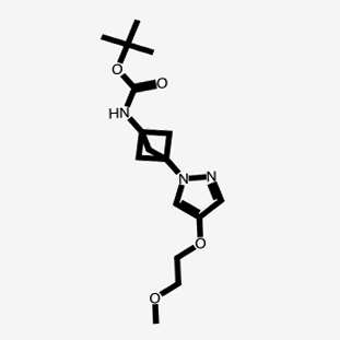 COCCOc1cnn(C23CC(NC(=O)OC(C)(C)C)(C2)C3)c1